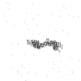 COC(=O)N[C@H](C(=O)N1CC[C@H](C(=O)Nc2ccc(-c3ccc(-c4cnc([C@@H]5CCCN5C(=O)[C@@H](C)C(C)C)[nH]4)cc3)cc2)C1)C(C)C